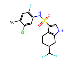 N#Cc1cc(F)c(NS(=O)(=O)c2c[nH]c3c2CCC(C(F)F)C3)cc1Cl